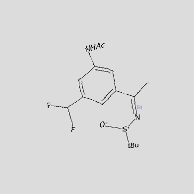 CC(=O)Nc1cc(/C(C)=N\[S+]([O-])C(C)(C)C)cc(C(F)F)c1